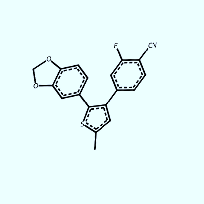 Cc1cc(-c2ccc(C#N)c(F)c2)c(-c2ccc3c(c2)OCO3)s1